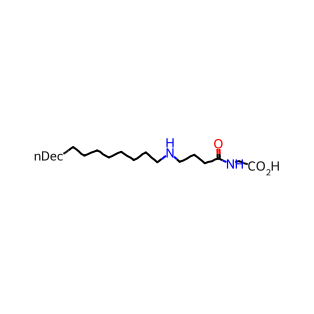 CCCCCCCCCCCCCCCCCCNCCCC(=O)NCC(=O)O